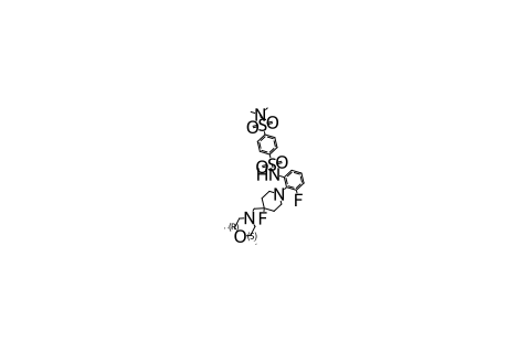 C[C@@H]1CN(CC2(F)CCN(c3c(F)cccc3NS(=O)(=O)c3ccc(S(=O)(=O)N(C)C)cc3)CC2)C[C@H](C)O1